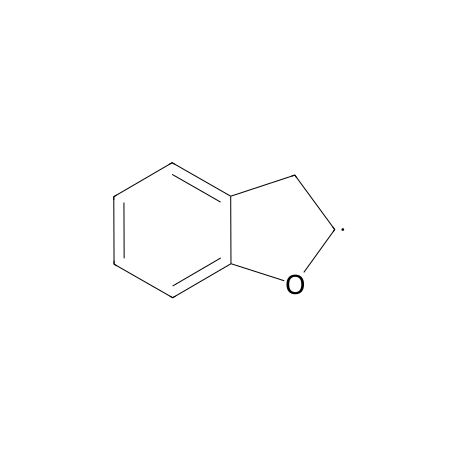 [CH]1Cc2ccccc2O1